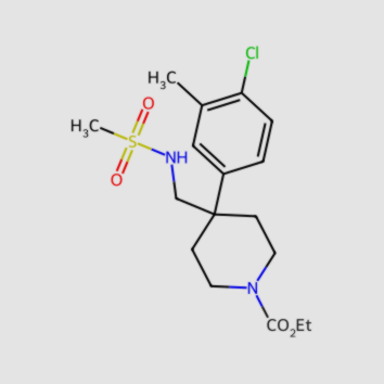 CCOC(=O)N1CCC(CNS(C)(=O)=O)(c2ccc(Cl)c(C)c2)CC1